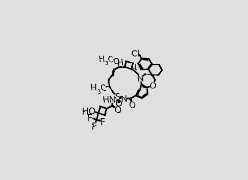 CO[C@H]1/C=C/C[C@H](C)CS(=O)(NC(=O)C2CC(O)(C(F)(F)F)C2)=NC(=O)c2ccc3c(c2)N(C[C@@H]2CC[C@H]21)C[C@@]1(CCCc2cc(Cl)ccc21)CO3